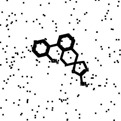 Cc1ccncc1-c1cccc2c1CCC1(CN=C(N)O1)C2